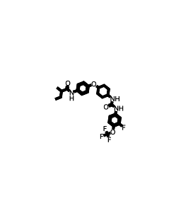 CCC(C)C(=O)Nc1ccc(OC2CCC(NC(=O)Nc3ccc(OC(F)(F)F)c(F)c3)CC2)cc1